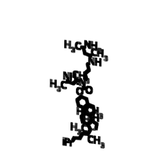 CC(C)CCC[C@@H](C)[C@H]1CC[C@H]2[C@@H]3CC=C4C[C@@H](OC(=O)N(CCCCNC(C)CC(C)N)C(C)CC(C)N)CC[C@]4(C)[C@H]3CC[C@]12C